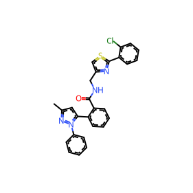 Cc1cc(-c2ccccc2C(=O)NCc2csc(-c3ccccc3Cl)n2)n(-c2ccccc2)n1